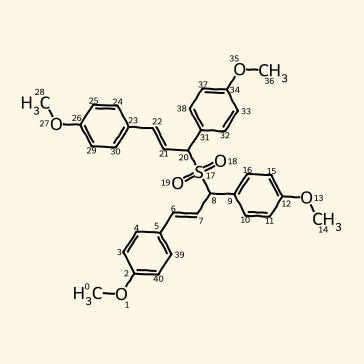 COc1ccc(/C=C/C(c2ccc(OC)cc2)S(=O)(=O)C(/C=C/c2ccc(OC)cc2)c2ccc(OC)cc2)cc1